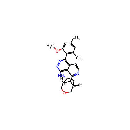 COc1cc(C)cc(C)c1-c1nnc(N)c2c(C3[C@@H]4CC[C@H]3COC4)nccc12